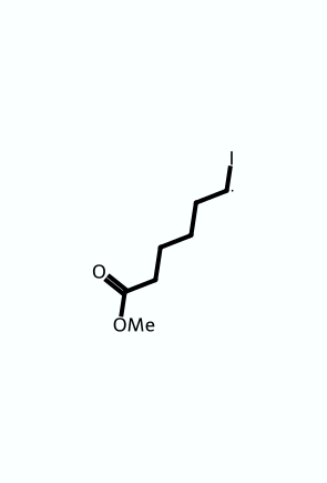 COC(=O)CCCC[CH]I